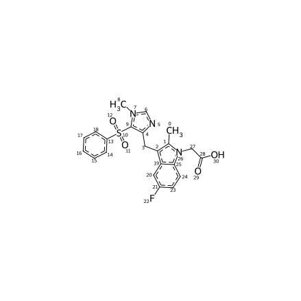 Cc1c(Cc2ncn(C)c2S(=O)(=O)c2ccccc2)c2cc(F)ccc2n1CC(=O)O